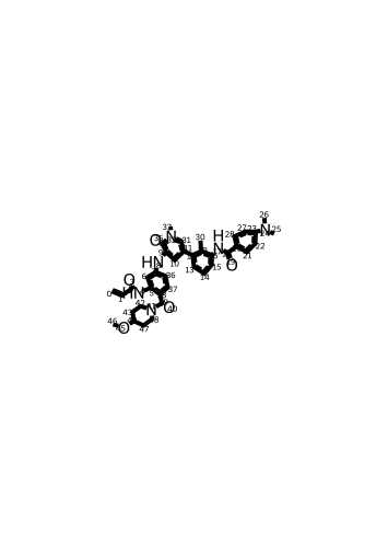 C=CC(=O)Nc1cc(Nc2cc(-c3cccc(NC(=O)c4ccc(N(C)C)cc4)c3C)cn(C)c2=O)ccc1C(=O)N1CCC(OC)CC1